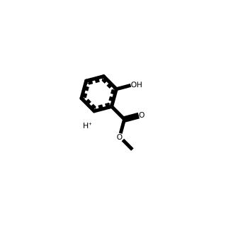 COC(=O)c1ccccc1O.[H+]